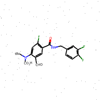 CC(C)(C)N(C(=O)O)c1cc(F)c(C(=O)NCc2ccc(F)c(F)c2)cc1C=O